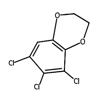 Clc1cc2c(c(Cl)c1Cl)OCCO2